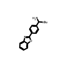 CCCCC(N)c1ccc(-c2nc3ccccc3o2)cc1